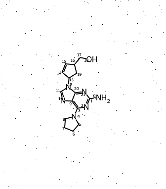 Nc1nc(N2CCCC2)c2ncn(C3C=CC(CO)C3)c2n1